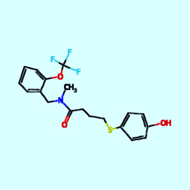 CN(Cc1ccccc1OC(F)(F)F)C(=O)CCCSc1ccc(O)cc1